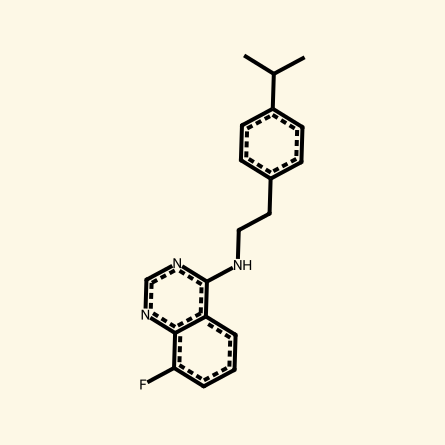 CC(C)c1ccc(CCNc2ncnc3c(F)cccc23)cc1